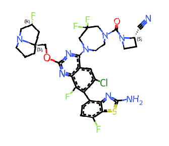 N#C[C@@H]1CCN1C(=O)N1CCN(c2nc(OC[C@@]34CCCN3C[C@H](F)C4)nc3c(F)c(-c4ccc(F)c5sc(N)nc45)c(Cl)cc23)CC(F)(F)C1